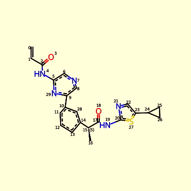 C=CC(=O)Nc1cncc(-c2cccc([C@H](C)C(=O)Nc3ncc(C4CC4)s3)c2)n1